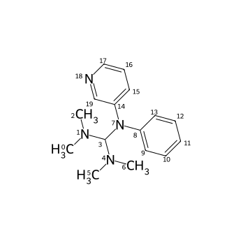 CN(C)C(N(C)C)N(c1ccccc1)c1cccnc1